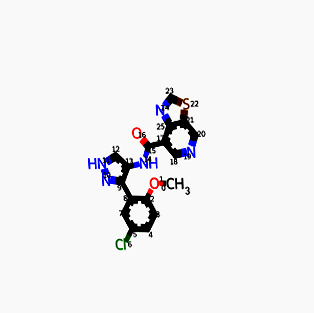 COc1ccc(Cl)cc1-c1n[nH]cc1NC(=O)c1cncc2scnc12